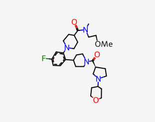 COCCN(C)C(=O)C1CCN(c2cc(F)ccc2C2CCN(C(=O)[C@H]3CCN(C4CCOCC4)C3)CC2)CC1